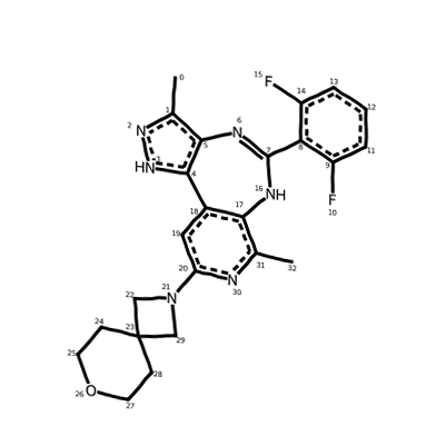 Cc1n[nH]c2c1N=C(c1c(F)cccc1F)Nc1c-2cc(N2CC3(CCOCC3)C2)nc1C